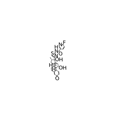 C[C@@H]1C[C@H]2[C@@H]3CCC4=CC(=O)C=C[C@]4(C)[C@@]3(F)[C@@H](O)C[C@]2(C)[C@@]1(O)c1csc(NC(=O)c2ccc(F)nc2)n1